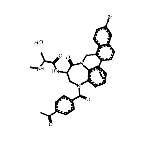 CNC(C)C(=O)NC1CN(C(=O)c2ccc(C(C)=O)cc2)c2ccccc2N(Cc2c(OC)ccc3cc(Br)ccc23)C1=O.Cl